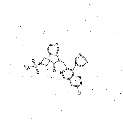 CS(=O)(=O)N1CC2(C1)C(=O)N(Cc1ncc3cc(Cl)ccc3c1-c1cncnc1)c1cnccc12